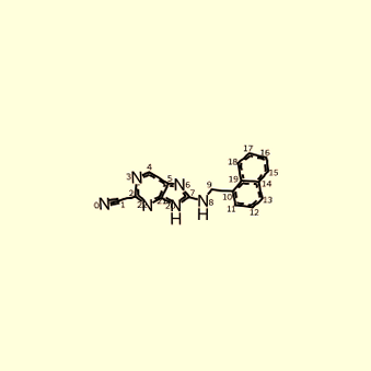 N#Cc1ncc2nc(NCc3cccc4ccccc34)[nH]c2n1